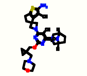 N#Cc1c(N2C[C@H]3CC[C@@H](C2)N3C(=O)O)nc(OCC2(CN3CCOCC3)CC2)nc1N1CC2(CCc3sc(N)c(C#N)c32)C1